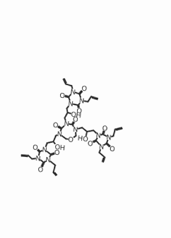 C=CCn1c(=O)n(CC=C)c(=O)n(CC(O)CN2COCN(CC(O)Cn3c(=O)n(CC=C)c(=O)n(CC=C)c3=O)C(=O)N(CC(O)Cn3c(=O)n(CC=C)c(=O)n(CC=C)c3=O)C2=O)c1=O